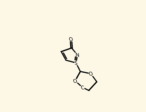 O=C1C=CS(C2OCCCO2)=N1